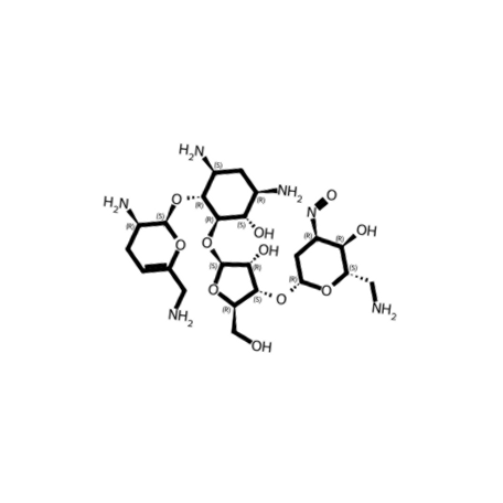 NCC1=CC[C@@H](N)[C@@H](O[C@H]2[C@H](O[C@@H]3O[C@H](CO)[C@@H](O[C@@H]4C[C@@H](N=O)[C@@H](O)[C@H](CN)O4)[C@H]3O)[C@@H](O)[C@H](N)C[C@@H]2N)O1